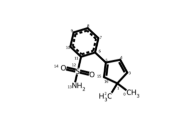 CC1(C)C=CC(c2ccccc2S(N)(=O)=O)=C1